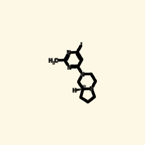 Cc1nc(I)cc(N2CCN3CCC[C@H]3C2)n1